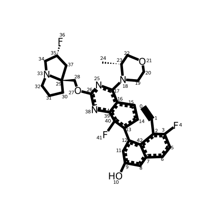 C#Cc1c(F)ccc2cc(O)cc(-c3ccc4c(N5CCOC[C@H]5C)nc(OC[C@@]56CCCN5C[C@H](F)C6)nc4c3F)c12